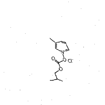 Cc1ccc[n+](OC(=O)OCC(C)C)c1.[Cl-]